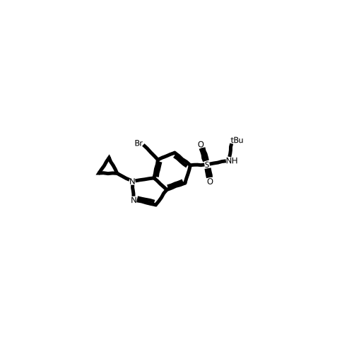 CC(C)(C)NS(=O)(=O)c1cc(Br)c2c(cnn2C2CC2)c1